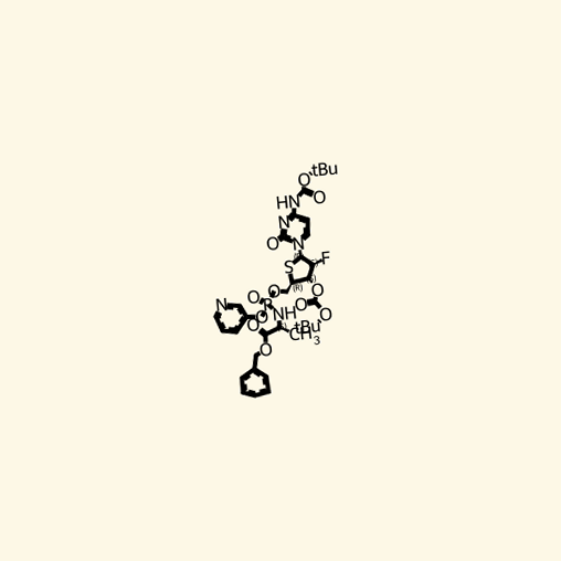 C[C@H](NP(=O)(OC[C@H]1S[C@@H](n2ccc(NC(=O)OC(C)(C)C)nc2=O)[C@@H](F)[C@@H]1OC(=O)OC(C)(C)C)Oc1cccnc1)C(=O)OCc1ccccc1